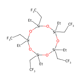 CC[Si]1(CC(F)(F)F)O[Si](CC)(CC(F)(F)F)O[Si](CC)(CC(F)(F)F)O[Si](CC)(CC(F)(F)F)O[Si](CC)(CC(F)(F)F)O1